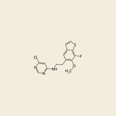 COc1c(CCNc2cc(Cl)ncn2)cc2ccsc2c1F